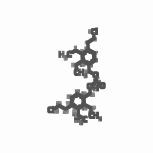 CCc1c(CCCl)ccc(CO[PH](=O)OCc2ccc(CCCl)c(CC)c2CC)c1CC